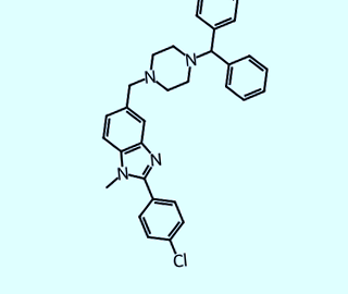 Cn1c(-c2ccc(Cl)cc2)nc2cc(CN3CCN(C(c4ccccc4)c4ccccc4)CC3)ccc21